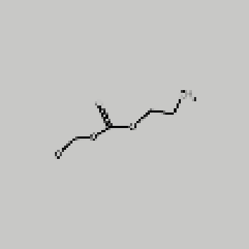 CCCOC(=O)OC[O]